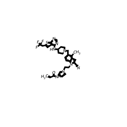 C=CC(=O)Nc1ccn(CCn2c(C#N)cc3c(C)c(CN4CCC(Nc5ncnc6sc(CC(F)(F)F)cc56)CC4)ccc32)c1